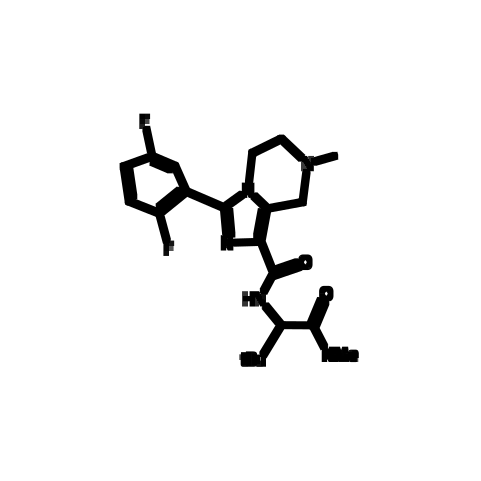 CNC(=O)C(NC(=O)c1nc(-c2cc(F)ccc2F)n2c1CN(C)CC2)C(C)(C)C